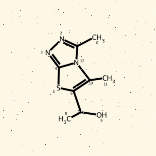 Cc1nnc2sc(C(C)O)c(C)n12